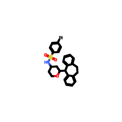 CCc1ccc(S(=O)(=O)NC2CCOC(C3c4ccccc4CCc4ccccc43)C2)cc1